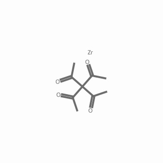 CC(=O)C(C(C)=O)(C(C)=O)C(C)=O.[Zr]